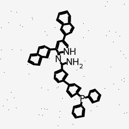 NC(/N=c1\[nH]cc(-c2ccc3ccccc3c2)cc1-c1ccc2ccccc2c1)c1cccc(-c2ccc(P(c3ccccc3)c3ccccc3)cc2)c1